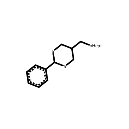 CCCCCCCCC1CSC(c2cc[c]cc2)SC1